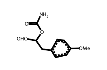 COc1ccc(CC(C=O)OC(N)=O)cc1